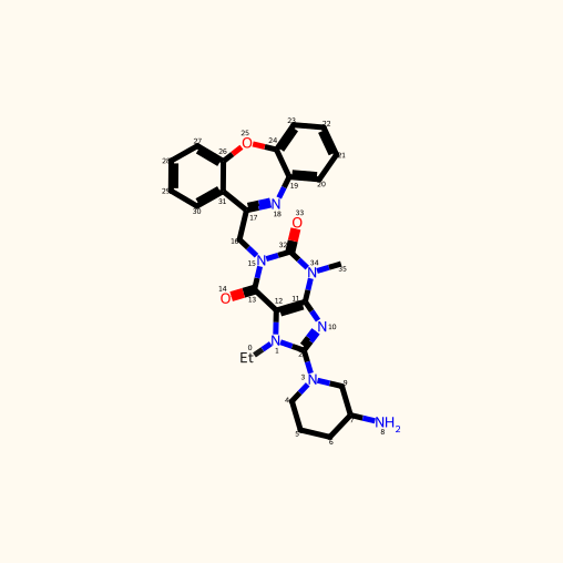 CCn1c(N2CCCC(N)C2)nc2c1c(=O)n(CC1=Nc3ccccc3Oc3ccccc31)c(=O)n2C